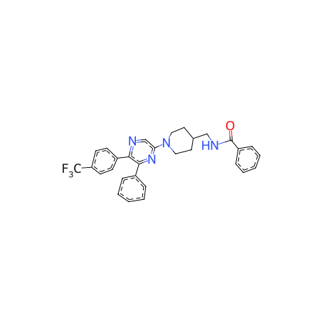 O=C(NCC1CCN(c2cnc(-c3ccc(C(F)(F)F)cc3)c(-c3ccccc3)n2)CC1)c1ccccc1